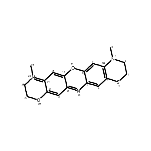 CN1CCSc2cc3c(cc21)Oc1cc2c(cc1=N3)OCC[N+]=2C